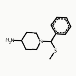 CSC(c1ccccc1)N1CCC(N)CC1